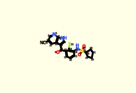 N#Cc1cnc2[nH]cc(C(=O)c3cccc(NS(=O)(=O)C4CCCC4)c3F)c2c1